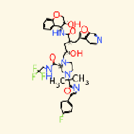 CC(C)(c1ncc(-c2ccc(F)cc2)o1)N1CCN(C[C@@H](O)C[C@H](Cc2coc3cnccc23)C(=O)N[C@H]2c3ccccc3OC[C@H]2O)[C@H](C(=O)NCC(F)(F)F)C1